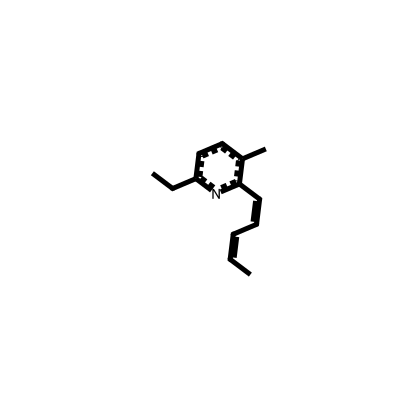 C/C=C\C=C/c1nc(CC)ccc1C